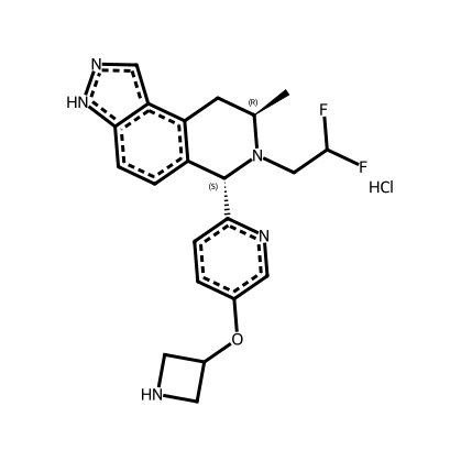 C[C@@H]1Cc2c(ccc3[nH]ncc23)[C@@H](c2ccc(OC3CNC3)cn2)N1CC(F)F.Cl